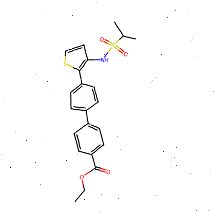 CCOC(=O)c1ccc(-c2ccc(-c3sccc3NS(=O)(=O)C(C)C)cc2)cc1